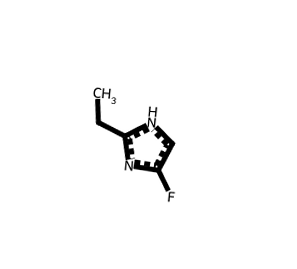 CCc1nc(F)c[nH]1